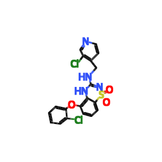 O=S1(=O)N=C(NCc2ccncc2Cl)Nc2c(Oc3ccccc3Cl)cccc21